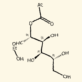 CC(=O)C(=O)O[C@@H](C=O)[C@@H](O)[C@H](O)[C@H](O)CO.CCO